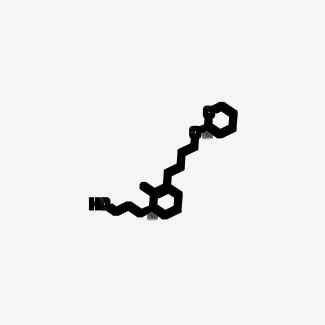 CC1=C(CCCCO[C@@H]2CCCCO2)CCC[C@H]1CCCO